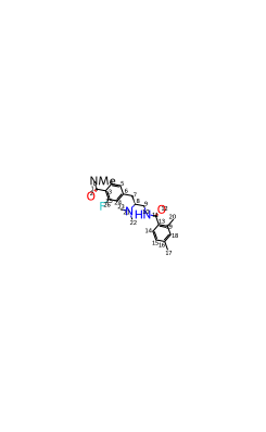 CNC(=O)c1ccc(C[C@@H](CNC(=O)c2ccc(C)cc2C)N(C)C)cc1F